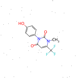 Cn1c(C(F)(F)F)cc(=O)n(-c2ccc(O)cc2)c1=O